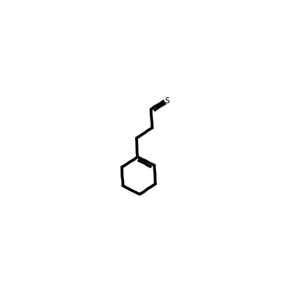 S=CCCC1=CCCCC1